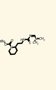 CN(C)/C=N\C(=S)NCCC1CCCCN1C(=O)OC(C)(C)C